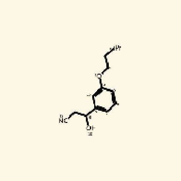 CC(C)CCOc1cccc(C(O)CC#N)c1